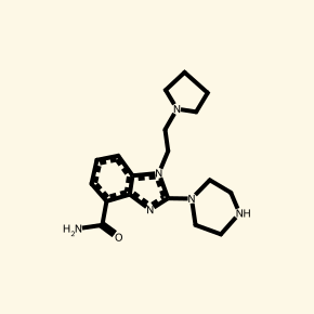 NC(=O)c1cccc2c1nc(N1CCNCC1)n2CCN1CCCC1